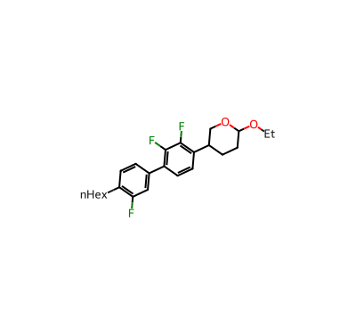 CCCCCCc1ccc(-c2ccc(C3CCC(OCC)OC3)c(F)c2F)cc1F